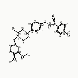 COc1ccc(CN2CCN(c3ccc(CNC(=O)c4ccc(Cl)cc4)cc3)CC2C)cc1OC